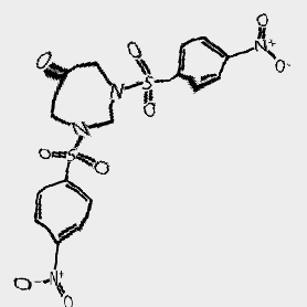 O=C1CN(S(=O)(=O)c2ccc([N+](=O)[O-])cc2)CN(S(=O)(=O)c2ccc([N+](=O)[O-])cc2)C1